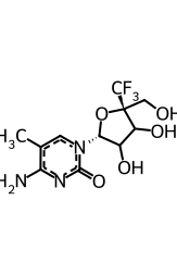 Cc1cn([C@@H]2O[C@@](CO)(C(F)(F)F)C(O)C2O)c(=O)nc1N